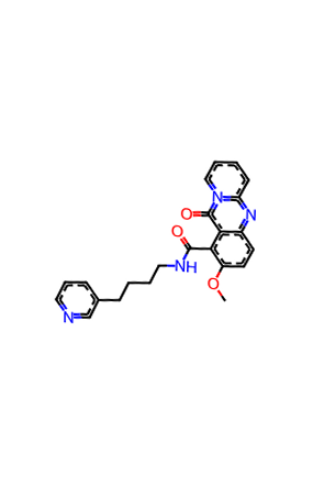 COc1ccc2nc3ccccn3c(=O)c2c1C(=O)NCCCCc1cccnc1